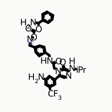 CC(C)Nc1ncc(-c2cc(N)cc(C(F)(F)F)c2)n(CC(=O)NCc2ccc(/C=N\OC(=O)OC(N)c3ccccc3)cc2)c1=O